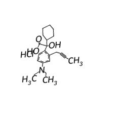 CC#CCc1cc(N(CC)CC)ccc1C(O)(C(=O)O)C1CCCCC1.Cl